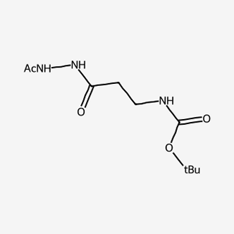 CC(=O)NNC(=O)CCNC(=O)OC(C)(C)C